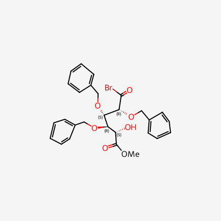 COC(=O)[C@@H](O)[C@@H](OCc1ccccc1)[C@H](OCc1ccccc1)[C@@H](OCc1ccccc1)C(=O)Br